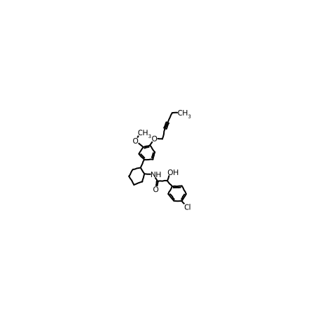 CCC#CCOc1ccc(C2CCCCC2NC(=O)C(O)c2ccc(Cl)cc2)cc1OC